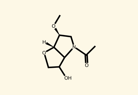 CO[C@H]1CN(C(C)=O)C2C(O)CO[C@@H]21